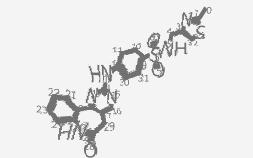 Cc1nc(CNS(=O)(=O)c2ccc(Nc3ncc4c(n3)-c3ccccc3NC(=O)C4)cc2)cs1